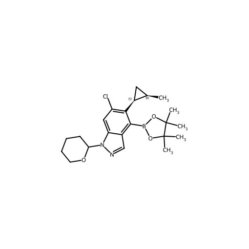 C[C@@H]1C[C@@H]1c1c(Cl)cc2c(cnn2C2CCCCO2)c1B1OC(C)(C)C(C)(C)O1